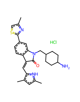 Cc1csc(-c2ccc3c(c2)N(CC2CCC(N)CC2)C(=O)/C3=C\c2[nH]c(C)cc2C)n1.Cl